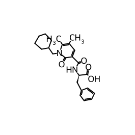 Cc1cc(C(=O)N[C@H](Cc2ccccc2)C(=O)O)c(=O)n(CC2CCCCC2)c1C